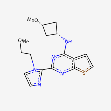 COCCn1ccnc1-c1nc(N[C@H]2C[C@@H](OC)C2)c2ccsc2n1